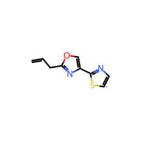 C=CCc1nc(-c2nc[c]s2)co1